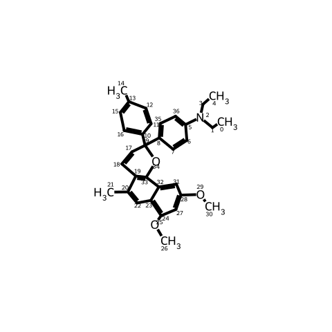 CCN(CC)c1ccc(C2(c3ccc(C)cc3)C=Cc3c(C)cc4c(OC)cc(OC)cc4c3O2)cc1